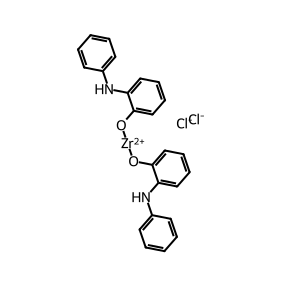 [Cl-].[Cl-].c1ccc(Nc2ccccc2[O][Zr+2][O]c2ccccc2Nc2ccccc2)cc1